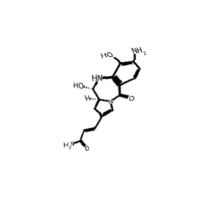 NC(=O)/C=C/C1=CN2C(=O)c3ccc(N)c(O)c3N[C@@H](O)[C@@H]2C1